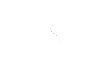 CC1CN(c2ccc(N3CC(CN)OC3=O)cc2F)CC/C1=C/C#N